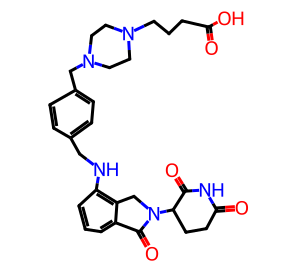 O=C(O)CCCN1CCN(Cc2ccc(CNc3cccc4c3CN(C3CCC(=O)NC3=O)C4=O)cc2)CC1